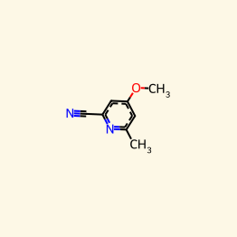 COc1cc(C)nc(C#N)c1